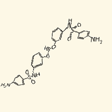 Nc1ccc(S(=O)(=O)Nc2cccc(OBOc3cccc(NS(=O)(=O)c4ccc(N)cc4)c3)c2)cc1